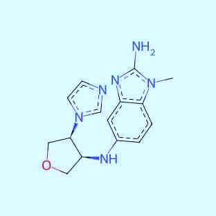 Cn1c(N)nc2cc(N[C@H]3COC[C@H]3n3ccnc3)ccc21